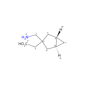 NCC1(CC(=O)O)C[C@@H]2C[C@H]2C1